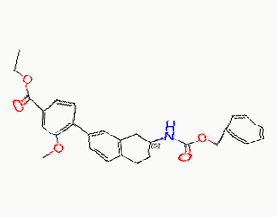 CCOC(=O)c1ccc(-c2ccc3c(c2)C[C@@H](NC(=O)OCc2ccccc2)CC3)c(OC)c1